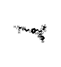 N=C(N)NOCCCOc1ccc(C[C@H](NS(=O)(=O)c2ccc(Br)s2)C(=O)OC(=O)C(F)(F)F)cc1